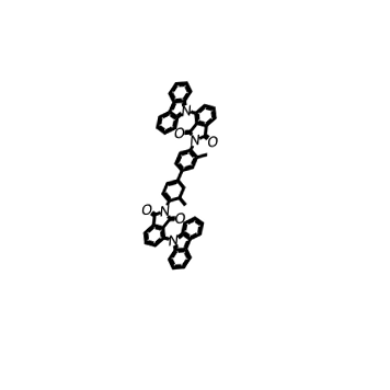 Cc1cc(C2=CC=C(N3C(=O)c4cccc(-n5c6ccccc6c6ccccc65)c4C3=O)C(C)C2)ccc1N1C(=O)c2cccc(-n3c4ccccc4c4ccccc43)c2C1=O